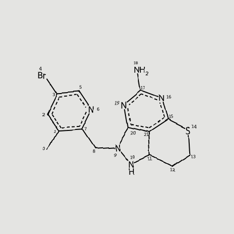 Cc1cc(Br)cnc1CN1NC2CCSc3nc(N)nc1c32